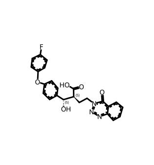 O=C(O)[C@@H](CCn1nnc2ccccc2c1=O)[C@H](O)c1ccc(Oc2ccc(F)cc2)cc1